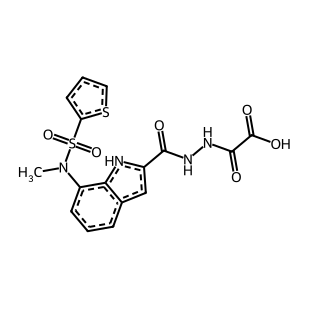 CN(c1cccc2cc(C(=O)NNC(=O)C(=O)O)[nH]c12)S(=O)(=O)c1cccs1